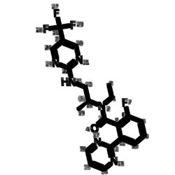 CCN(C(=O)c1c(F)cccc1-c1ncccn1)[C@@H](C)CNc1ncc(C(F)(F)F)cn1